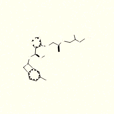 O=C(COc1nonc1C(=NO)NC1Cc2ccc(F)cc21)NCC(O)CO